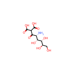 N[C@@H](C(=O)C(C(=O)O)C(=O)O)[C@@H](O)[C@H](O)[C@H](O)CO